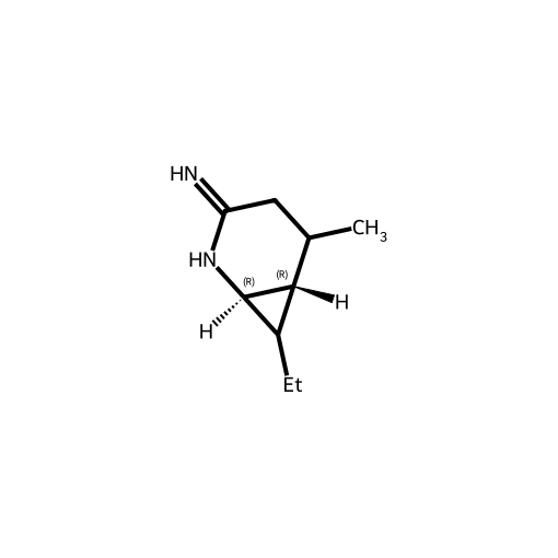 CCC1[C@H]2C(C)CC(=N)N[C@H]12